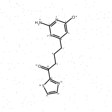 Nc1nc(Cl)cc(CC[CH]C(=O)c2nccs2)n1